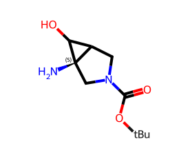 CC(C)(C)OC(=O)N1CC2C(O)[C@@]2(N)C1